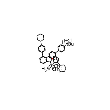 CCC1=Cc2c(-c3ccc(C4CCCCC4)cc3)cccc2[CH]1[Zr]([CH3])([CH3])(=[SiH2])[CH]1C(C2CCCCC2)=Cc2c(-c3ccc(C(C)(C)C)cc3)cccc21.Cl.Cl